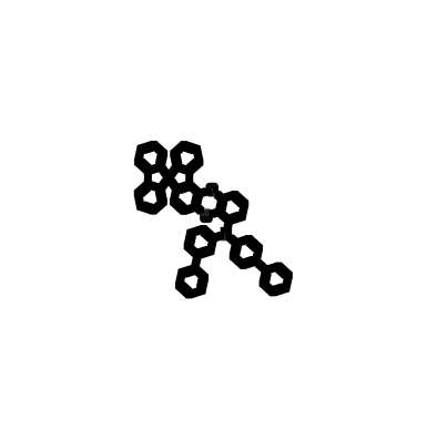 c1ccc(-c2ccc(N(c3cccc(-c4ccccc4)c3)c3cccc4c3Oc3ccc5c(c3O4)-c3ccccc3C53c4ccccc4-c4ccccc43)cc2)cc1